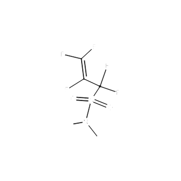 CN(C)S(=O)(=O)C(F)(F)C(F)=C(F)F